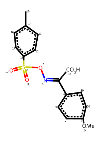 COc1ccc(C(=NOS(=O)(=O)c2ccc(C)cc2)C(=O)O)cc1